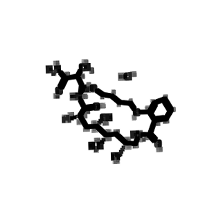 COCCCCOc1ccccc1C(=O)NC[C@@H](C[C@H](N)[C@@H](O)C[C@@H](C(=O)NCC(C)C(N)=O)C(C)C)C(C)C.Cl